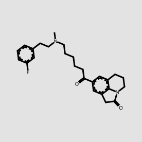 CN(CCCCCC(=O)c1cc2c3c(c1)CC(=O)N3CCC2)CCc1cccc(F)c1